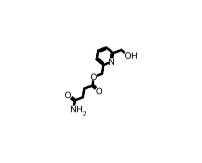 NC(=O)CCC(=O)OCc1cccc(CO)n1